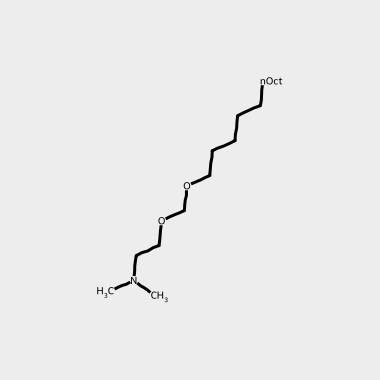 CCCCCCCCCCCCCOCOCCN(C)C